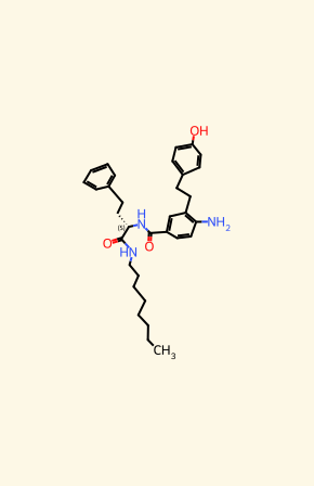 CCCCCCCCNC(=O)[C@H](CCc1ccccc1)NC(=O)c1ccc(N)c(CCc2ccc(O)cc2)c1